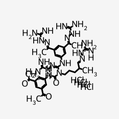 CC(=O)c1cc(NC(=O)N(CCCC(C)C=NNC(=N)N)C(=NNC(=N)N)Nc2cc(C(C)=NNC(=N)N)cc(C(C)=NNC(=N)N)c2)cc(C(C)=O)c1.Cl.Cl.Cl.Cl